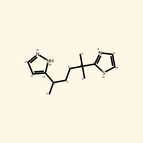 CC(CCC(C)(C)c1nccs1)c1ccn[nH]1